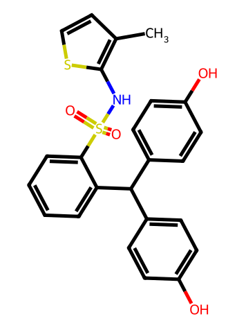 Cc1ccsc1NS(=O)(=O)c1ccccc1C(c1ccc(O)cc1)c1ccc(O)cc1